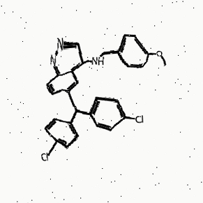 COc1ccc(CNc2cnnc3ccc(C(c4ccc(Cl)cc4)c4ccc(Cl)cc4)cc23)cc1